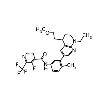 CCN1CCC(CCOC)c2cc(-c3cc(NC(=O)c4ccnc(C(F)(F)F)c4F)ccc3C)cnc21